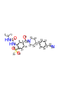 CC(C)NC(=O)Nc1cc(C(=O)N2CCC(c3ccc(C#N)cc3)CC2)ccc1S(C)(=O)=O